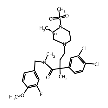 COc1ccc(CN(C)C(=O)C(C)(CCN2CCN(S(C)(=O)=O)[C@H](C)C2)c2ccc(Cl)c(Cl)c2)cc1F